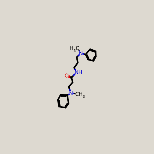 CN(CCCNC(=O)CCN(C)c1ccccc1)c1ccccc1